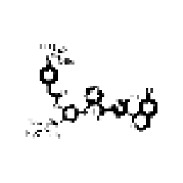 Cc1sc(C(=O)c2cncnc2N[C@@H]2C[C@H](CO[Si](C)(C)C(C)(C)C)[C@@H](OC(=O)Cc3ccc(OP(=O)(OCC(C)C)OCC(C)C)cc3)C2)cc1[C@@H]1OCCc2ccc(Cl)cc21